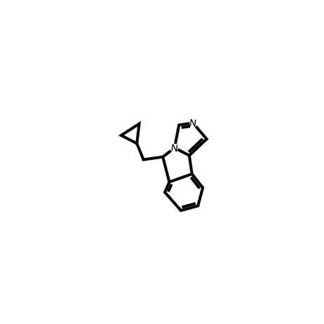 c1ccc2c(c1)-c1cncn1C2CC1CC1